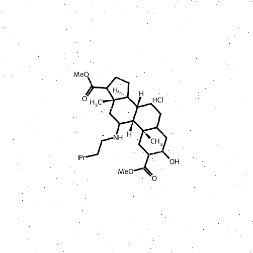 COC(=O)C1C[C@@]2(C)C(CC[C@@H]3[C@H]2C(NCCC(C)C)C[C@]2(C)C(C(=O)OC)CC[C@@H]32)CC1O.Cl